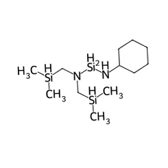 C[SiH](C)CN(C[SiH](C)C)[SiH2]NC1CCCCC1